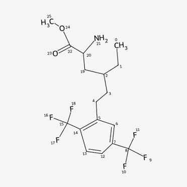 CCC(CCc1cc(C(F)(F)F)ccc1C(F)(F)F)CC(N)C(=O)OC